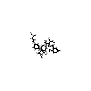 Cc1ccc(F)c(C(=O)N[C@@H](C(=O)N2CCC3(CC2)C(=O)N(C)C(=O)N3c2ccc(OCCN(C)C)cc2)C(C)C)c1